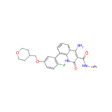 CCCNC(=O)c1c(N)c2cccc(-c3cc(OCC4CCOCC4)ccc3F)c2[nH]c1=O